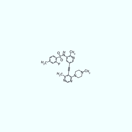 Cc1ccc(S(=O)(=O)Nc2cc(C#Cc3c(C)ncnc3N3CCN(C)CC3)cnc2C)c(F)c1